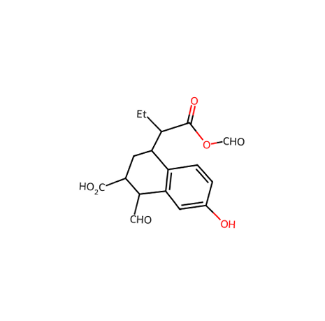 CCC(C(=O)OC=O)C1CC(C(=O)O)C(C=O)c2cc(O)ccc21